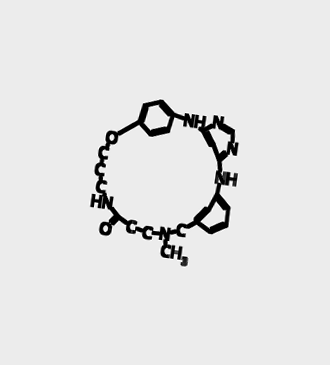 CN1CCC(=O)NCCCOc2ccc(cc2)Nc2cc(ncn2)Nc2cccc(c2)C1